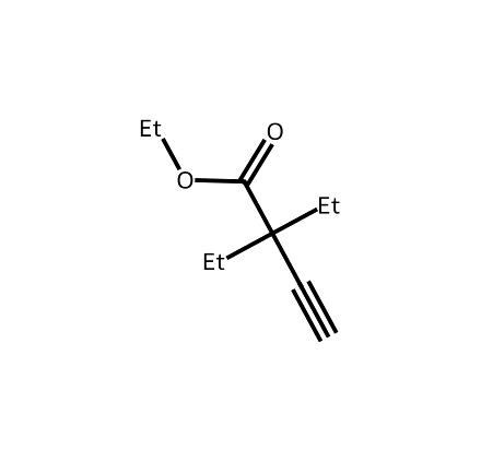 C#CC(CC)(CC)C(=O)OCC